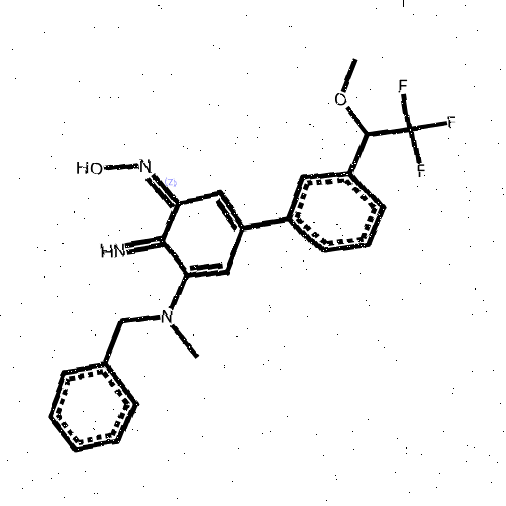 COC(c1cccc(C2=C/C(=N/O)C(=N)C(N(C)Cc3ccccc3)=C2)c1)C(F)(F)F